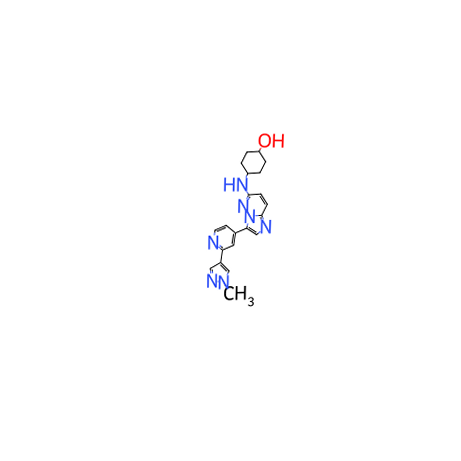 Cn1cc(-c2cc(-c3cnc4ccc(NC5CCC(O)CC5)nn34)ccn2)cn1